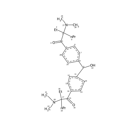 CCCC(CC)(C(=O)c1ccc(C(O)c2ccc(C(=O)C(CC)(CCC)N(C)C)cc2)cc1)N(C)C